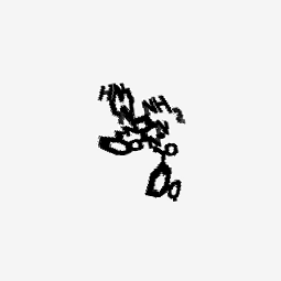 COc1cccc(C(=O)Cn2cnc3c(N)c(N4CCNCC4)n(Cc4ccccc4)c3c2=O)c1